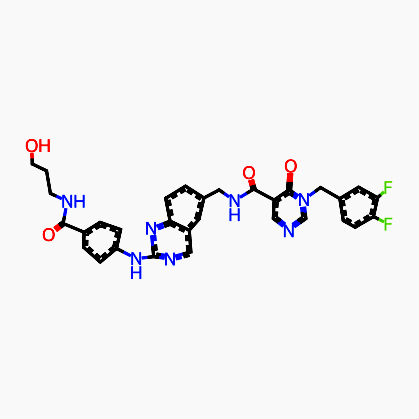 O=C(NCCCO)c1ccc(Nc2ncc3cc(CNC(=O)c4cncn(Cc5ccc(F)c(F)c5)c4=O)ccc3n2)cc1